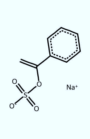 C=C(OS(=O)(=O)[O-])c1ccccc1.[Na+]